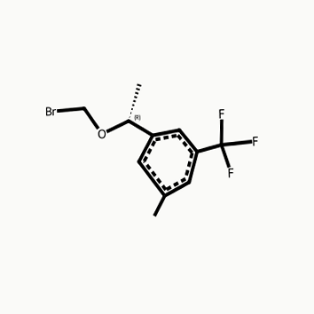 Cc1cc([C@@H](C)OCBr)cc(C(F)(F)F)c1